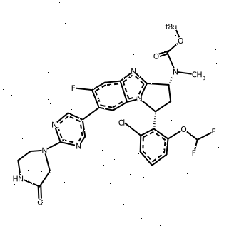 CN(C(=O)OC(C)(C)C)[C@@H]1C[C@H](c2c(Cl)cccc2OC(F)F)n2c1nc1cc(F)c(-c3cnc(N4CCNC(=O)C4)nc3)cc12